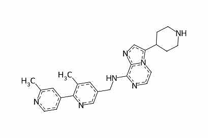 Cc1cc(-c2ncc(CNc3nccn4c(C5CCNCC5)cnc34)cc2C)ccn1